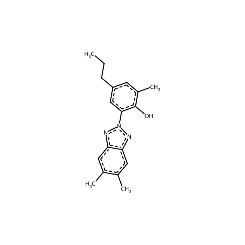 CCCc1cc(C)c(O)c(-n2nc3cc(C)c(C)cc3n2)c1